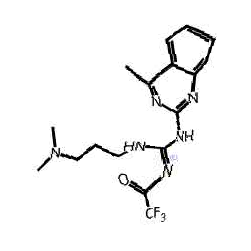 Cc1nc(N/C(=N/C(=O)C(F)(F)F)NCCCN(C)C)nc2ccccc12